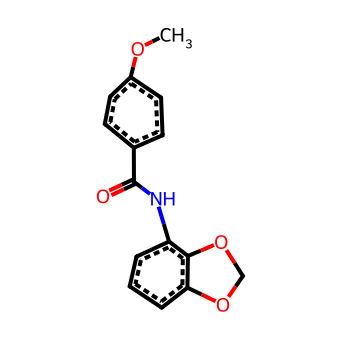 COc1ccc(C(=O)Nc2cccc3c2OCO3)cc1